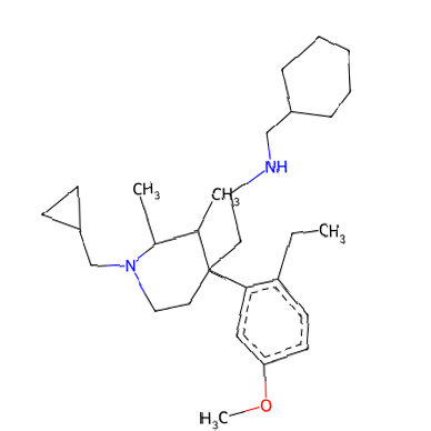 CCc1ccc(OC)cc1C1(CCNCC2CCCCC2)CCN(CC2CC2)C(C)C1C